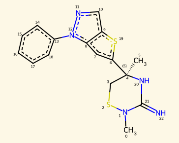 CN1SC[C@@](C)(c2cc3c(cnn3-c3ccccc3)s2)NC1=N